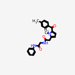 Cc1ccc(C(=O)c2ccc(CC(=O)NCC(=O)Nc3ccccc3)n2C)cc1